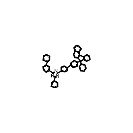 c1ccc(-c2cccc(-c3nc(-c4ccccc4)nc(-c4ccc(-c5ccc(C6(c7ccccc7)c7ccccc7-c7c6ccc6ccccc76)cc5)cc4)n3)c2)cc1